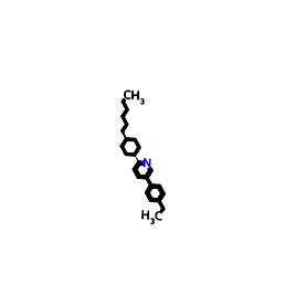 CCCCCC[C@H]1CC[C@H](c2ccc(-c3ccc(CC)cc3)cn2)CC1